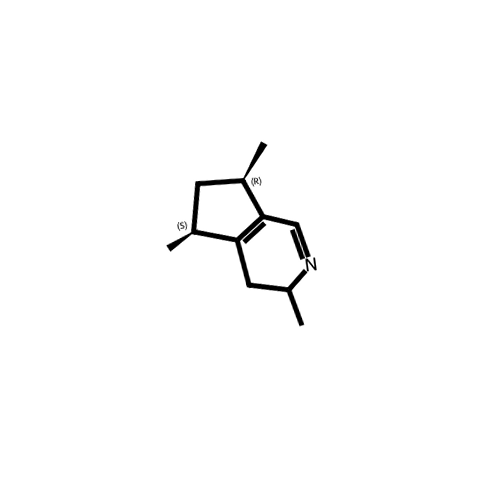 CC1CC2=C(C=N1)[C@H](C)C[C@@H]2C